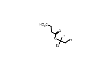 CCC(CC)(CC(C)C)OC(=O)CCC(=O)O